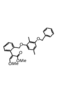 CO/C=C(\C(=O)OC)c1ccccc1COc1cc(C)cc(OCc2ccccc2)c1C